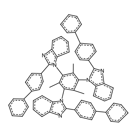 Cc1c(-n2c(-c3ccc(-c4ccccc4)cc3)nc3ccccc32)c(C)c(-n2c(-c3ccc(-c4ccccc4)cc3)nc3ccccc32)c(C)c1-n1c(-c2ccc(-c3ccccc3)cc2)nc2ccccc21